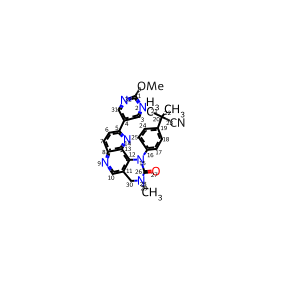 COc1ncc(-c2ccc3ncc4c(c3n2)N(c2ccc(C(C)(C)C#N)cc2)C(=O)N(C)C4)cn1